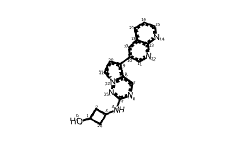 OC1CC(Nc2ncc3c(-c4cnc5ncccc5c4)ccn3n2)C1